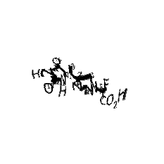 C=C(c1cn([C@H](F)C(=O)O)nn1)[C@@H]1NC(=O)NC1=O